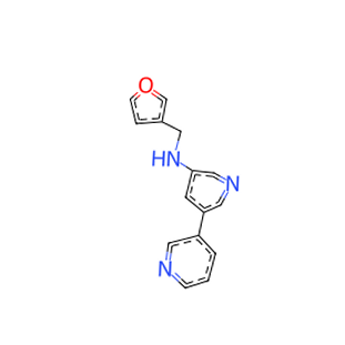 c1cncc(-c2cncc(NCc3ccoc3)c2)c1